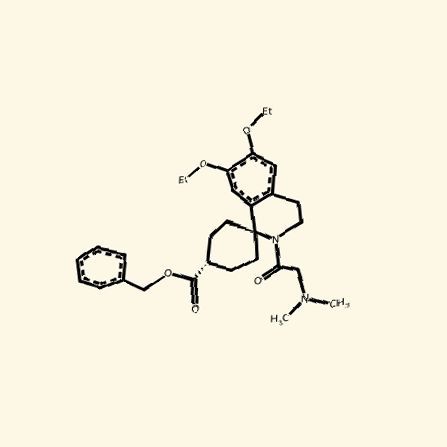 CCOc1cc2c(cc1OCC)[C@]1(CC[C@@H](C(=O)OCc3ccccc3)CC1)N(C(=O)CN(C)C)CC2